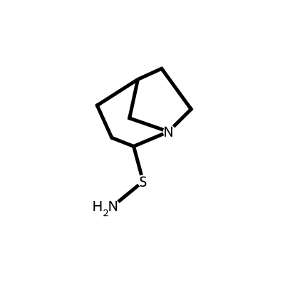 NSC1CCC2CCN1C2